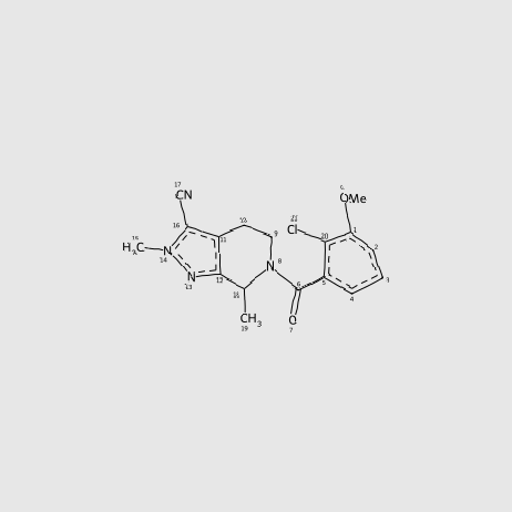 COc1cccc(C(=O)N2CCc3c(nn(C)c3C#N)C2C)c1Cl